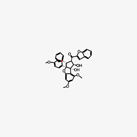 COc1ccc([C@@]23Oc4cc(OC)cc(OC)c4[C@]2(O)[C@H](O)[C@H](C(=O)c2cc4ccccc4o2)[C@H]3c2ccccc2)cc1